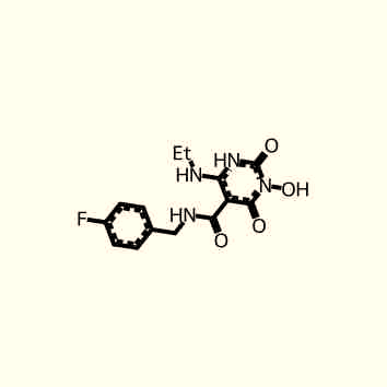 CCNc1[nH]c(=O)n(O)c(=O)c1C(=O)NCc1ccc(F)cc1